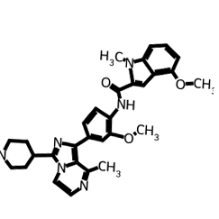 COc1cc(-c2nc(C3CCNCC3)n3ccnc(C)c23)ccc1NC(=O)c1cc2c(OC)cccc2n1C